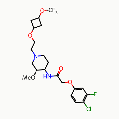 CO[C@H]1CN(CCOC2CC(OC(F)(F)F)C2)CCC1NC(=O)COc1ccc(Cl)c(F)c1